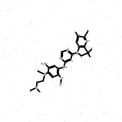 CCOc1cc(N(C)CCN(C)C)c(N)cc1Nc1cc(N2CC(C)(C)c3nc(C)c(C)cc32)ncn1